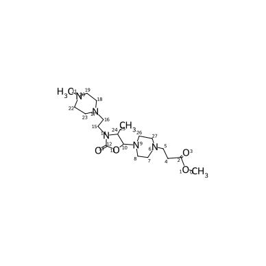 COC(=O)CCN1CCN(C2OC(=O)N(CCN3CCN(C)CC3)C2C)CC1